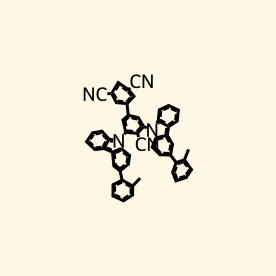 Cc1ccccc1-c1ccc2c(c1)c1ccccc1n2-c1cc(-c2cc(C#N)cc(C#N)c2)cc(-n2c3ccccc3c3cc(-c4ccccc4C)ccc32)c1C#N